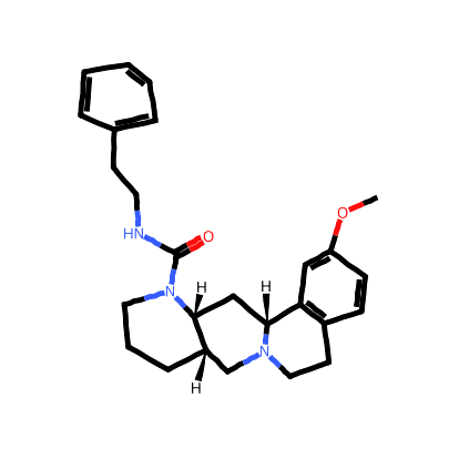 COc1ccc2c(c1)[C@H]1C[C@@H]3[C@@H](CCCN3C(=O)NCCc3ccccc3)CN1CC2